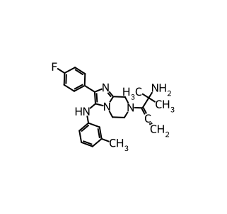 C=C=C(N1CCn2c(nc(-c3ccc(F)cc3)c2Nc2cccc(C)c2)C1)C(C)(C)N